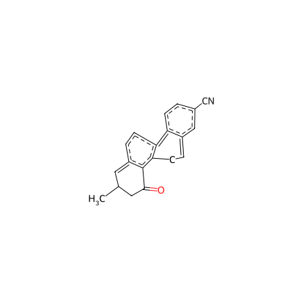 CC1C=c2ccc3c(c2C(=O)C1)CC=c1cc(C#N)ccc1=3